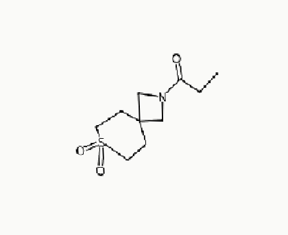 CCC(=O)N1CC2(CCS(=O)(=O)CC2)C1